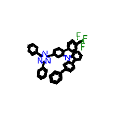 FC(F)(F)c1ccc(-c2ccc(-c3nc(-c4ccccc4)nc(-c4ccccc4)n3)cc2-n2c3ccccc3c3ccc(-c4ccccc4)cc32)cc1